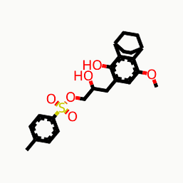 COc1cc(CC(O)COS(=O)(=O)c2ccc(C)cc2)c(O)c2c1C1CCC2CC1